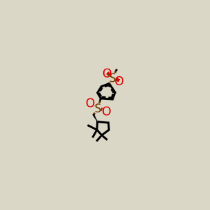 CC1(C)CC[C@H](CS(=O)(=O)c2ccc(S(C)(=O)=O)cc2)C1(C)C